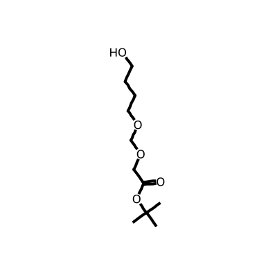 CC(C)(C)OC(=O)COCOCCCCO